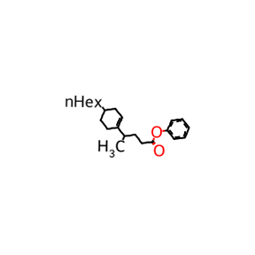 CCCCCCC1CC=C(C(C)CCC(=O)Oc2ccccc2)CC1